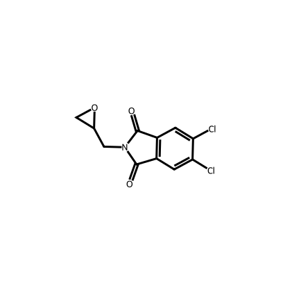 O=C1c2cc(Cl)c(Cl)cc2C(=O)N1CC1CO1